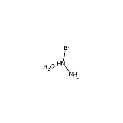 NNBr.O